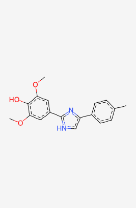 COc1cc(-c2nc(-c3ccc(C)cc3)c[nH]2)cc(OC)c1O